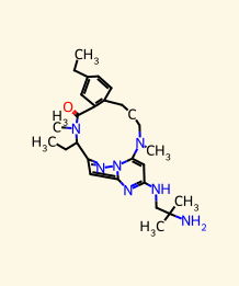 CCc1ccc2c(c1)C(=O)N(C)C(CC)c1cc3nc(NCC(C)(C)N)cc(n3n1)N(C)CCC2